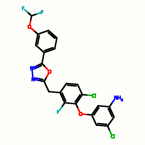 Nc1cc(Cl)cc(Oc2c(Cl)ccc(Cc3nnc(-c4cccc(OC(F)F)c4)o3)c2F)c1